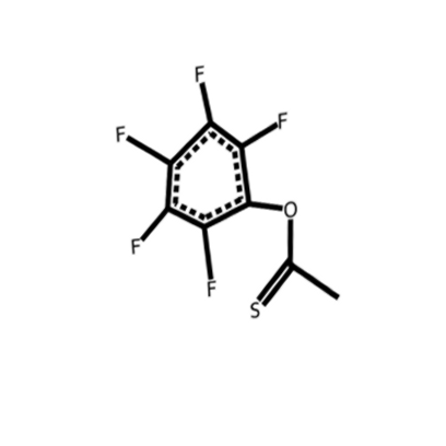 CC(=S)Oc1c(F)c(F)c(F)c(F)c1F